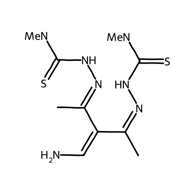 CNC(=S)NN=C(C)C(=CN)C(C)=NNC(=S)NC